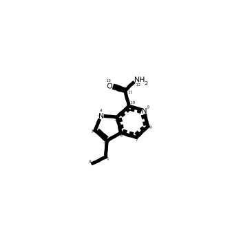 CCC1=C[N]c2c1ccnc2C(N)=O